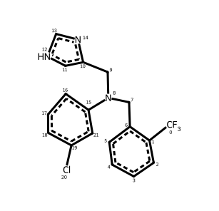 FC(F)(F)c1ccccc1CN(Cc1c[nH]cn1)c1cccc(Cl)c1